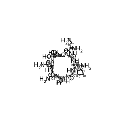 CC(C)C[C@@H]1NC(=O)[C@@H](Cc2ccccc2)NC(=O)[C@H](CCN)NC(=O)[C@@H](NC(=O)[C@@H](N)CCN)CCNC(O)[C@H]([C@@H](C)O)NC(=O)[C@H](CCN)NC(=O)[C@H](CCN)NC1=O